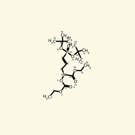 CCOC(=O)ON(CC=CP(=O)(OC(C)(C)C)OC(C)(C)C)C(=O)OCC